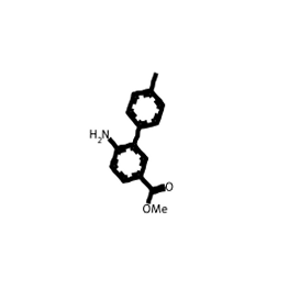 COC(=O)c1ccc(N)c(-c2ccc(C)cc2)c1